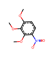 COc1ccc([N+](=O)[O-])c(OC)c1OC